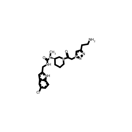 CN(C(=O)NCc1cc2cc(Cl)ccc2[nH]1)[C@@H]1CCCN(C(=O)Cn2cc(CCN)nn2)C1